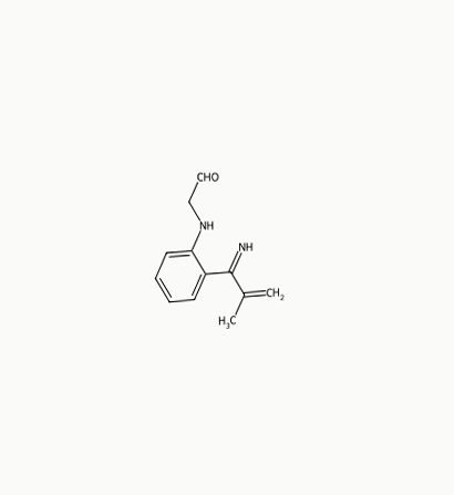 C=C(C)C(=N)c1ccccc1NCC=O